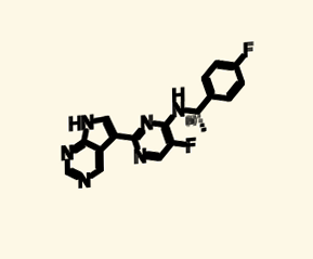 C[C@H](Nc1nc(-c2c[nH]c3ncncc23)ncc1F)c1ccc(F)cc1